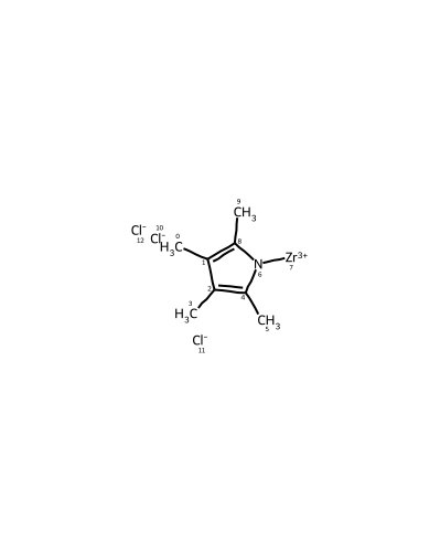 Cc1c(C)c(C)[n]([Zr+3])c1C.[Cl-].[Cl-].[Cl-]